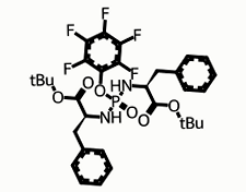 CC(C)(C)OC(=O)[C@H](Cc1ccccc1)NP(=O)(N[C@@H](Cc1ccccc1)C(=O)OC(C)(C)C)Oc1c(F)c(F)c(F)c(F)c1F